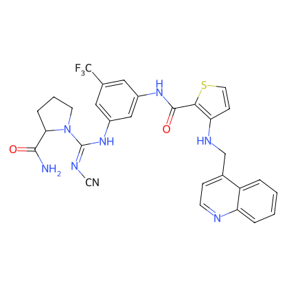 N#CN=C(Nc1cc(NC(=O)c2sccc2NCc2ccnc3ccccc23)cc(C(F)(F)F)c1)N1CCCC1C(N)=O